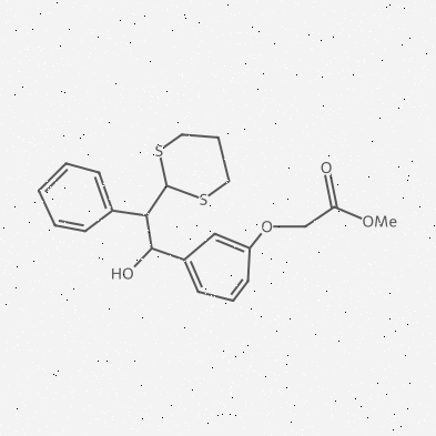 COC(=O)COc1cccc(C(O)C(c2ccccc2)C2SCCCS2)c1